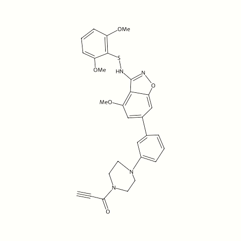 C#CC(=O)N1CCN(c2cccc(-c3cc(OC)c4c(NSc5c(OC)cccc5OC)noc4c3)c2)CC1